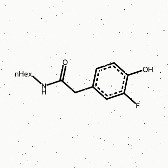 CCCCCCNC(=O)Cc1ccc(O)c(F)c1